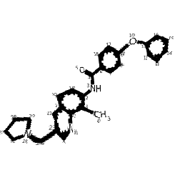 Cc1c(NC(=O)c2ccc(Oc3ccccc3)cc2)ccc2cc(CN3CCCC3)cnc12